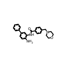 Nc1ccc(-c2ccccc2)cc1NC(=O)c1ccc(CN2CCOCC2)cc1